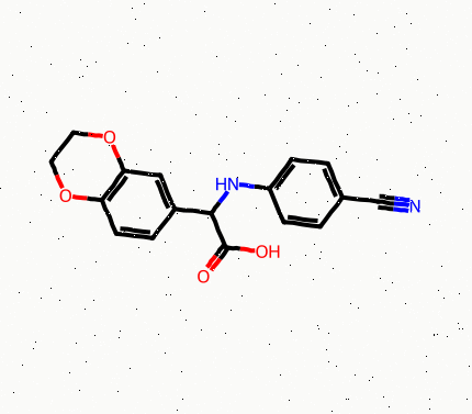 N#Cc1ccc(NC(C(=O)O)c2ccc3c(c2)OCCO3)cc1